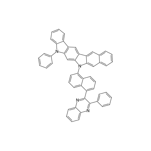 c1ccc(-c2nc3ccccc3nc2-c2cccc3c(-n4c5cc6ccccc6cc5c5cc6c7ccccc7n(-c7ccccc7)c6cc54)cccc23)cc1